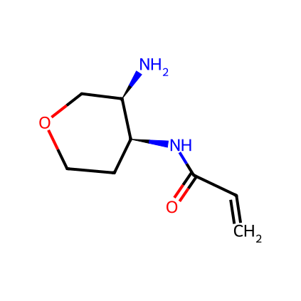 C=CC(=O)N[C@H]1CCOC[C@H]1N